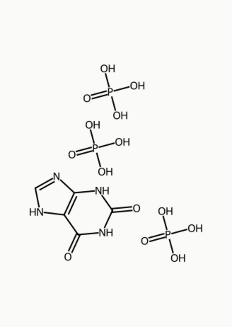 O=P(O)(O)O.O=P(O)(O)O.O=P(O)(O)O.O=c1[nH]c(=O)c2[nH]cnc2[nH]1